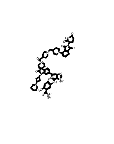 Cc1cc(F)c(Nc2nc(-c3ccc4c(c3)N(C3CC(N5CCCCC5)C3)C(=O)C43CCN(C(=O)C4CCN(CC5CCN(c6cccc7c6C(=O)N(C6CCC(=O)NC6=O)C7=O)CC5)CC4)CC3)cc3ncn(C(C)C)c23)cc1C(=O)NC(C)C